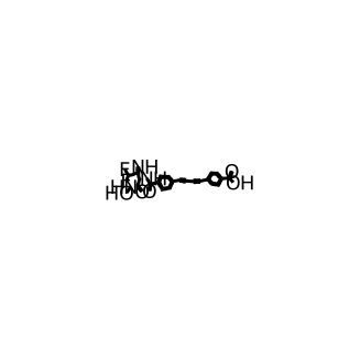 N=C(C(F)F)[C@H](NC(=O)c1ccc(C#CC#Cc2ccc(C(=O)O)cc2)cc1)C(=O)NO